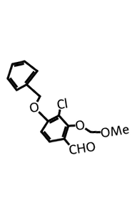 COCOc1c(C=O)ccc(OCc2ccccc2)c1Cl